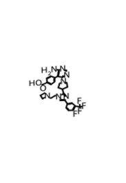 Nc1ncnc(N2CCC(c3nc(-c4ccc(F)c(C(F)(F)F)c4)cn3CCN3CCC3)CC2)c1-c1ccc(C(=O)O)cc1